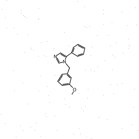 COc1cccc(Cn2cncc2-c2ccccc2)c1